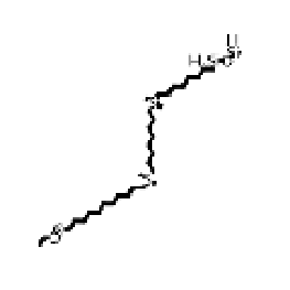 CCOOCCCCCCCCCCC[Si](C)(C)CCCCCCCC[Si](C)(C)CCCCCCCC[SiH2]O[SiH](C)C